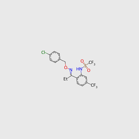 CC/C(=N\OCc1ccc(Cl)cc1)c1ccc(C(F)(F)F)cc1NS(=O)(=O)C(F)(F)F